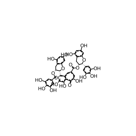 O=C(O[C@@H]1Cc2c(O)cc(O)cc2O[C@@H]1c1cc(O)c(O)c(O)c1)c1cc(O)c(=O)c2c(O)c(O)cc([C@H]3Oc4cc(O)cc(O)c4C[C@H]3OC(=O)c3cc(O)c(O)c(O)c3)c2c1